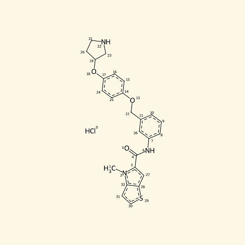 Cl.Cn1c(C(=O)Nc2cccc(COc3ccc(OC4CCNC4)cc3)c2)cc2sccc21